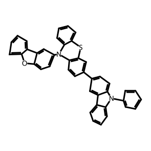 c1ccc(-n2c3ccccc3c3cc(-c4ccc5c(c4)Sc4ccccc4N5c4ccc5oc6ccccc6c5c4)ccc32)cc1